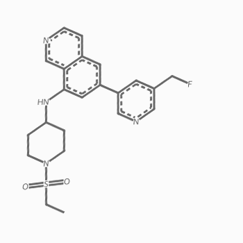 CCS(=O)(=O)N1CCC(Nc2cc(-c3cncc(CF)c3)cc3ccncc23)CC1